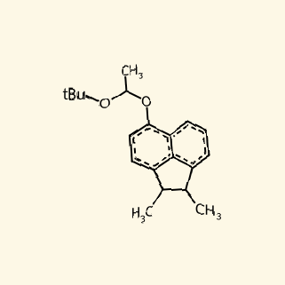 CC(Oc1ccc2c3c(cccc13)C(C)C2C)OC(C)(C)C